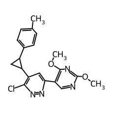 COc1ncc(-c2cc(C3CC3c3ccc(C)cc3)c(Cl)nn2)c(OC)n1